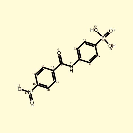 O=C(Nc1ccc(P(=O)(O)O)cc1)c1ccc([N+](=O)[O-])cc1